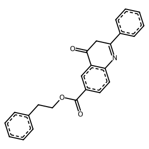 O=C(OCCc1ccccc1)c1ccc2c(c1)C(=O)CC(c1ccccc1)=N2